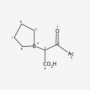 CC(=O)C(=O)C(B1CCCC1)C(=O)O